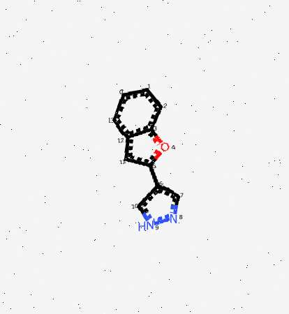 c1ccc2oc(-c3cn[nH]c3)cc2c1